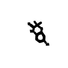 CCc1ccc2c(c1)OC(C)(C)C(=O)N2